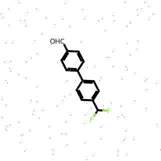 O=Cc1ccc(-c2ccc(C(F)F)cc2)cc1